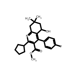 COC(=O)c1c(C2CCCC2)nc2c(c1-c1ccc(F)cc1)C(O)CC(C)(C)C2